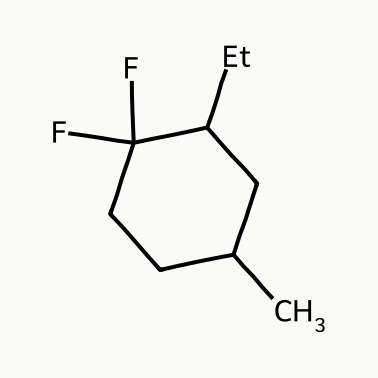 CCC1CC(C)CCC1(F)F